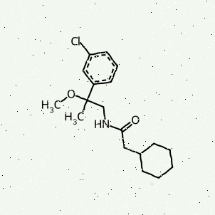 COC(C)(CNC(=O)CC1CCCCC1)c1cccc(Cl)c1